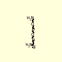 C[Si](C)(C)C(N)CCOCCOCCOCCOCCCN